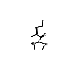 CCC=C(C)C(=O)N(NC)NC